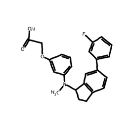 CN(c1cccc(OCC(=O)O)c1)C1CCc2ccc(-c3cccc(F)c3)cc21